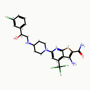 NC(=O)c1sc2nc(N3CCC(NCC(O)c4cccc(F)c4)CC3)cc(C(F)(F)F)c2c1N